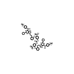 CP(C)(=O)c1ccc(Nc2nc(C3CCCC3)nc3c2ncn3CCc2ccccc2Oc2cc(OC(=O)Oc3ccc([N+](=O)[O-])c(Oc4ccccc4CCn4cnc5c(Nc6ccc(P(C)(C)=O)cc6)nc(C6CCCC6)nc54)c3)ccc2[N+](=O)[O-])cc1